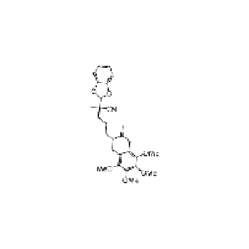 COc1c2c(c(OC)c(OC)c1OC)CN(C)C(CCCC(C)(C#N)C1Oc3ccccc3O1)C2